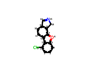 Clc1cccc2oc3c4c(ccc3c12)C=NC4